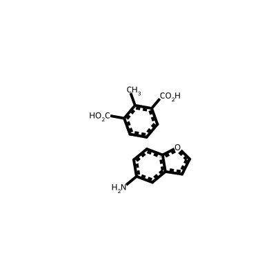 Cc1c(C(=O)O)cccc1C(=O)O.Nc1ccc2occc2c1